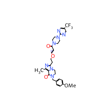 COc1ccc(CN2CCn3c(CCO/C=C/C(=O)N4CCN(c5ncc(C(F)(F)F)cn5)CC4)nc(C)c3C2=O)cc1